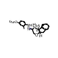 COc1ccc(N/N=C2/CO[C@H]3Cc4ccccc4[C@H]3N2)c(C)c1